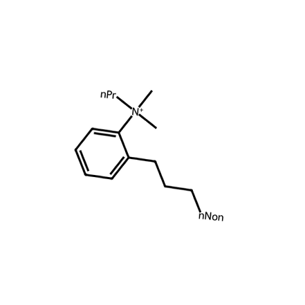 CCCCCCCCCCCCc1ccccc1[N+](C)(C)CCC